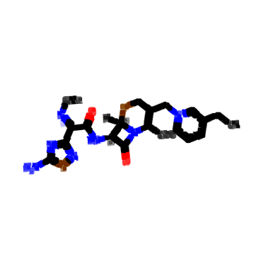 CO/N=C(\C(=O)N[C@@H]1C(=O)N2C(C(=O)[O-])=C(C[n+]3cccc(CC#N)c3)CS[C@@H]12)c1nsc(N)n1